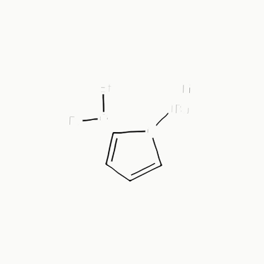 CC(C)(C)[c-]1cccc1.CCOCC.[Li+]